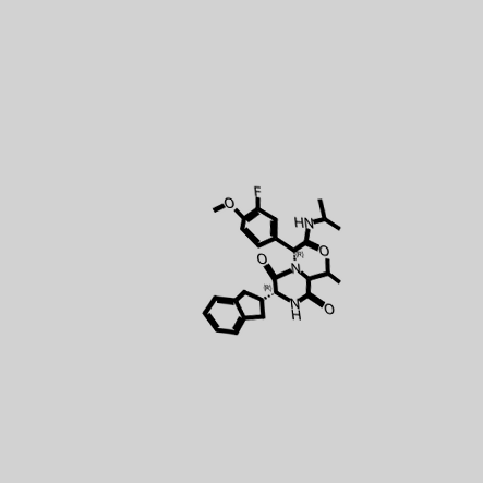 COc1ccc([C@H](C(=O)NC(C)C)N2C(=O)[C@@H](C3Cc4ccccc4C3)NC(=O)C2C(C)C)cc1F